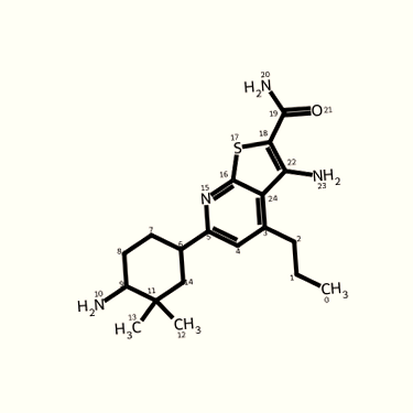 CCCc1cc(C2CCC(N)C(C)(C)C2)nc2sc(C(N)=O)c(N)c12